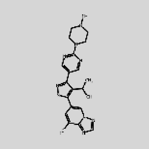 Cc1cc(-c2[nH]nc(-c3cnc(N4CCN(C)CC4)nc3)c2C(C)C)cn2ncnc12